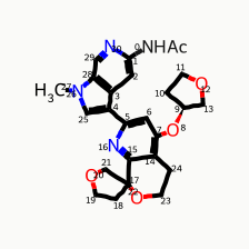 CC(=O)Nc1cc2c(-c3cc(O[C@H]4CCOC4)c4c(n3)C3(CCOC3)OCC4)cn(C)c2cn1